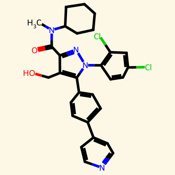 CN(C(=O)c1nn(-c2ccc(Cl)cc2Cl)c(-c2ccc(-c3ccncc3)cc2)c1CO)C1CCCCC1